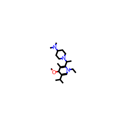 CCN1C=C(C(C)C)C(OC)C(C)=C1C(C)N1CCC(N(C)C)CC1